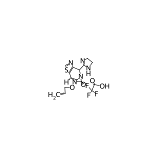 C=CCON1C(=O)N2C[C@H]1c1scnc1C2C1=NCCN1.O=C(O)C(F)(F)F